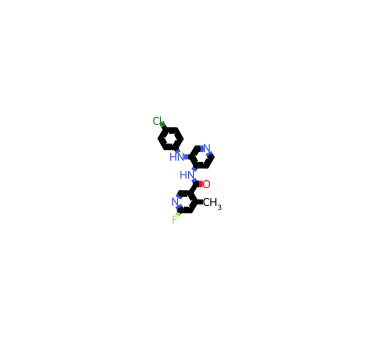 Cc1cc(F)ncc1C(=O)Nc1ccncc1Nc1ccc(Cl)cc1